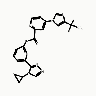 O=C(Nc1cccc(-c2nncn2C2CC2)n1)c1cc(-n2cnc(C(F)(F)C(F)(F)F)c2)ccn1